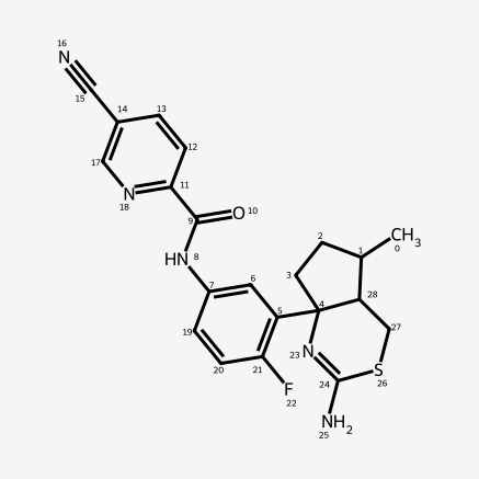 CC1CCC2(c3cc(NC(=O)c4ccc(C#N)cn4)ccc3F)N=C(N)SCC12